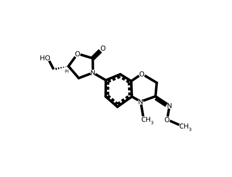 CON=C1COc2cc(N3C[C@H](CO)OC3=O)ccc2N1C